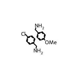 COc1ccc(CN)cc1.NCc1ccc(Cl)cc1